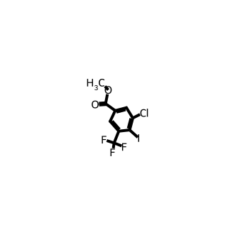 COC(=O)c1cc(Cl)c(I)c(C(F)(F)F)c1